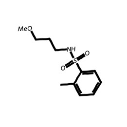 COCCCNS(=O)(=O)c1ccccc1C